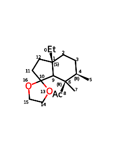 CC[C@@]12CC[C@@H](C)[C@@](C)(C(C)=O)C1C1(CC2)OCCO1